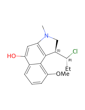 CC[C@@H](Cl)[C@@H]1CN(C)c2cc(O)c3cccc(OC)c3c21